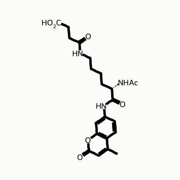 CC(=O)N[C@@H](CCCCNC(=O)CCC(=O)O)C(=O)Nc1ccc2c(C)cc(=O)oc2c1